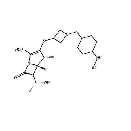 CCNC1CCC(CN2CC(SC3=C(C(=O)O)N4C(=O)[C@H]([C@@H](C)O)[C@H]4[C@H]3C)C2)CC1